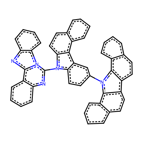 c1ccc2c(c1)ccc1c2c2cc(-n3c4c5ccccc5ccc4c4ccc5ccccc5c43)ccc2n1-c1nc2ccccc2c2nc3ccccc3n12